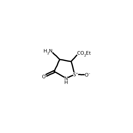 CCOC(=O)C1C(N)C(=O)N[S+]1[O-]